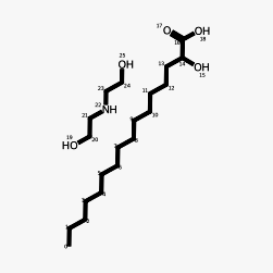 CCCCCCCCCCCCCCC(O)C(=O)O.OCCNCCO